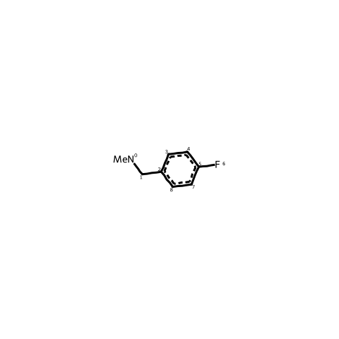 [CH2-][NH2+]Cc1ccc(F)cc1